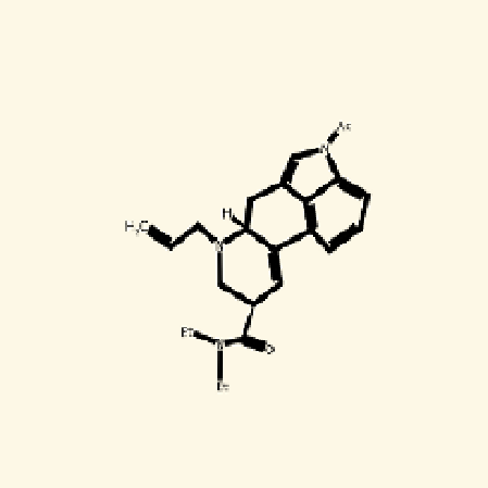 C=CCN1C[C@H](C(=O)N(CC)CC)C=C2c3cccc4c3c(cn4C(C)=O)C[C@H]21